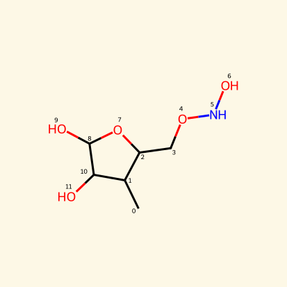 CC1C(CONO)OC(O)C1O